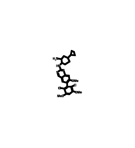 COc1cc2nc(NC3CCC(C4CCC4)CC3N)ncc2cc1-c1c(Cl)c(OC)cc(OC)c1Cl